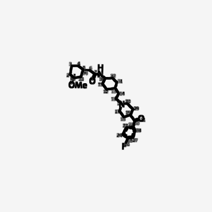 CO[C@@H]1CCC[C@@H](CC(=O)NC2CCC(CCN3CCC(C(=O)c4ccc(F)cc4)CC3)CC2)C1